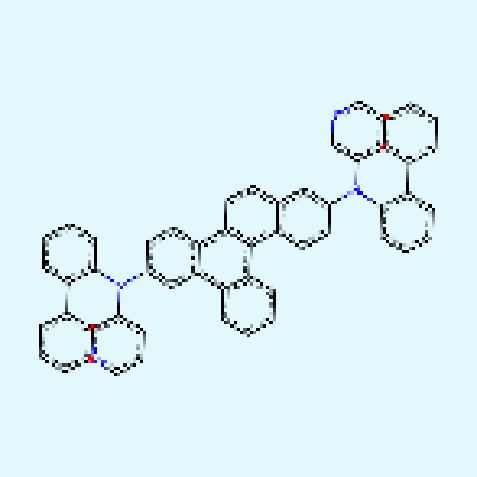 c1ccc(-c2ccccc2N(c2cccnc2)c2ccc3c(ccc4c5ccc(N(c6cccnc6)c6ccccc6-c6ccccc6)cc5c5ccccc5c34)c2)cc1